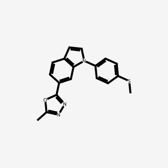 CSc1ccc(-n2ccc3ccc(-c4nnc(C)o4)cc32)cc1